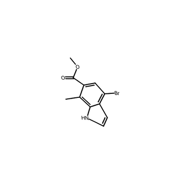 COC(=O)c1cc(Br)c2cc[nH]c2c1C